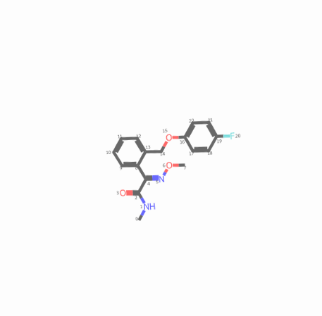 CNC(=O)/C(=N/OC)c1ccccc1COc1ccc(F)cc1